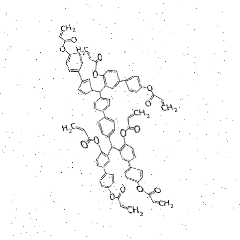 C=CC(=O)Oc1ccc(C2=CC(C(c3ccc(-c4ccc(C(c5cc(-c6ccc(OC(=O)C=C)cc6)ccc5OC(=O)C=C)c5cc(-c6ccc(OC(=O)C=C)cc6)ccc5OC(=O)C=C)cc4)cc3)c3cc(-c4ccc(OC(=O)C=C)cc4)ccc3OC(=O)C=C)C=C2)cc1